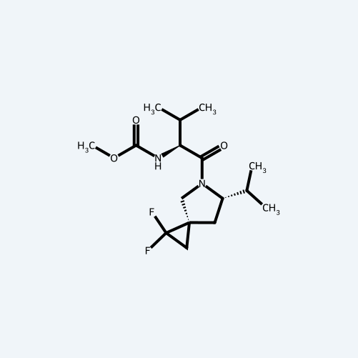 COC(=O)N[C@H](C(=O)N1C[C@]2(C[C@H]1C(C)C)CC2(F)F)C(C)C